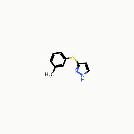 Cc1cccc(Sc2cc[nH]n2)c1